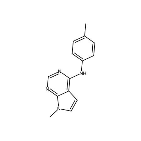 Cc1ccc(Nc2ncnc3c2ccn3C)cc1